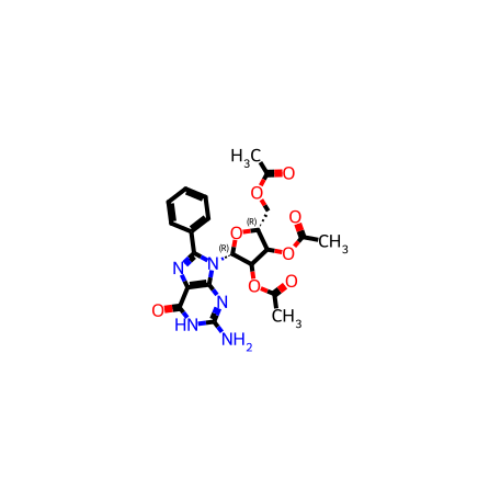 CC(=O)OC[C@H]1O[C@@H](n2c(-c3ccccc3)nc3c(=O)[nH]c(N)nc32)C(OC(C)=O)C1OC(C)=O